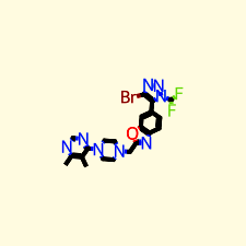 Cc1ncnc(N2CCN(Cc3nc4ccc(-c5c(Br)nnn5C(F)F)cc4o3)CC2)c1C